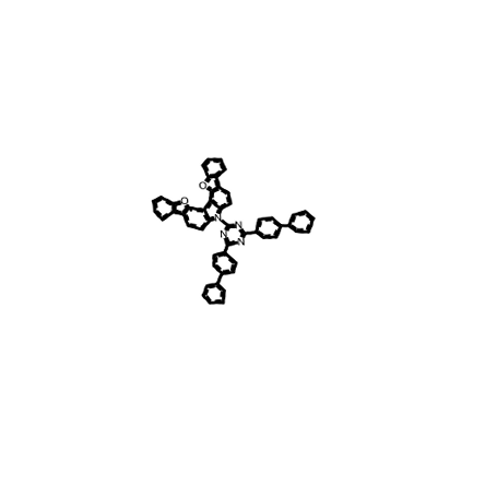 c1ccc(-c2ccc(-c3nc(-c4ccc(-c5ccccc5)cc4)nc(-n4c5ccc6c7ccccc7oc6c5c5c6oc7ccccc7c6ccc54)n3)cc2)cc1